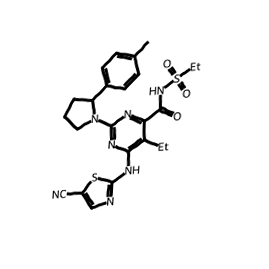 CCc1c(Nc2ncc(C#N)s2)nc(N2CCCC2c2ccc(C)cc2)nc1C(=O)NS(=O)(=O)CC